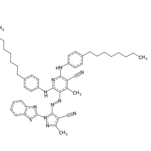 CCCCCCCCc1ccc(Nc2nc(Nc3ccc(CCCCCCCC)cc3)c(N=Nc3c(C#N)c(C)nn3-c3nc4ccccc4s3)c(C)c2C#N)cc1